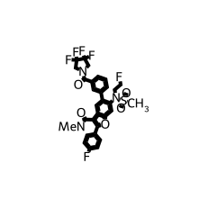 CNC(=O)c1c(-c2ccc(F)cc2)oc2cc(N(CCF)S(C)(=O)=O)c(-c3cccc(C(=O)N4CC(F)(F)C(F)(F)C4)c3)cc12